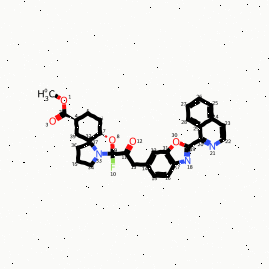 COC(=O)[C@H]1CC[C@H](OC(F)(C(=O)Cc2ccc3nc(-c4nccc5ccccc45)oc3c2)N2CCCC2)CC1